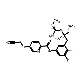 C#CCOc1ccc(C(=O)Nc2cc(F)c(F)c(C[C@](C)(COC)S/C(N)=N\C)c2)nc1